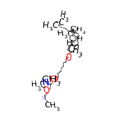 CC/C=C\COCC(COCCCCCCCCOC1CCC2(C)C(=CCC3[C@@H]2CCC2(C)[C@@H]([C@H](C)CCCC(C)C)CC[C@@H]32)C1)N(C)C